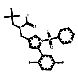 CC(C)(C)CN(Cc1cc(-c2cc(F)ccc2F)n(S(=O)(=O)c2cccnc2)c1)C(=O)O